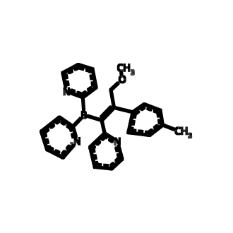 COC/C(=C(\B(c1ccccn1)c1ccccn1)c1ccccn1)c1ccc(C)cc1